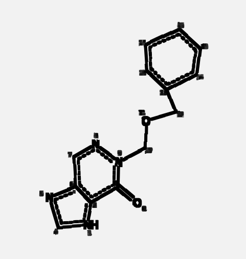 O=c1c2[nH]cnc2cnn1COCc1ccccc1